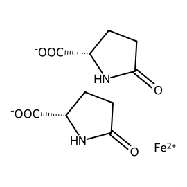 O=C1CC[C@@H](C(=O)[O-])N1.O=C1CC[C@@H](C(=O)[O-])N1.[Fe+2]